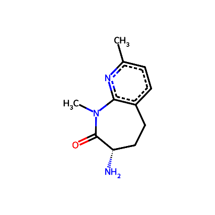 Cc1ccc2c(n1)N(C)C(=O)[C@@H](N)CC2